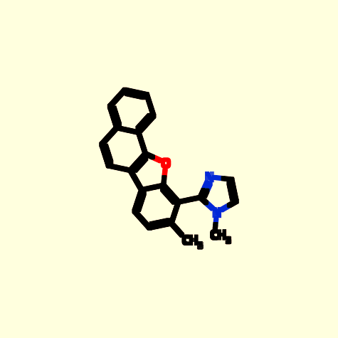 Cc1ccc2c(oc3c4ccccc4ccc23)c1-c1nccn1C